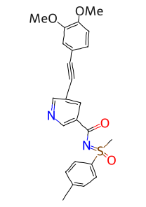 COc1ccc(C#Cc2cncc(C(=O)N=S(C)(=O)c3ccc(C)cc3)c2)cc1OC